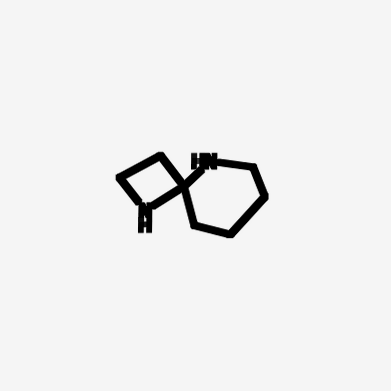 C1CCC2(CCN2)NC1